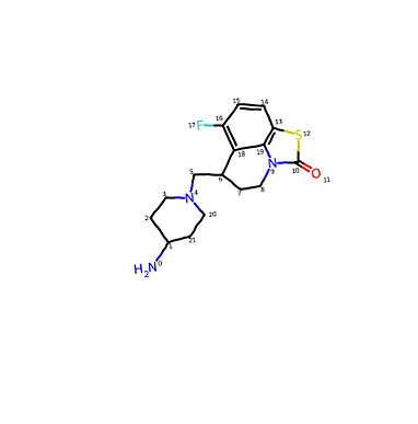 NC1CCN(CC2CCn3c(=O)sc4ccc(F)c2c43)CC1